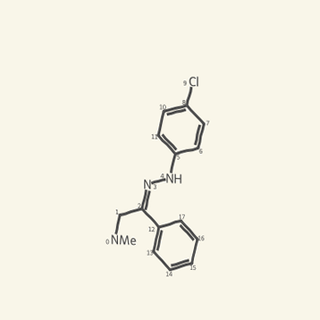 CNCC(=NNc1ccc(Cl)cc1)c1ccccc1